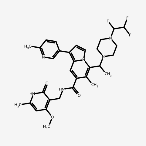 COc1cc(C)[nH]c(=O)c1CNC(=O)c1cc2c(-c3ccc(C)nc3)ccn2c(C(C)N2CCN(C(F)C(F)F)CC2)c1C